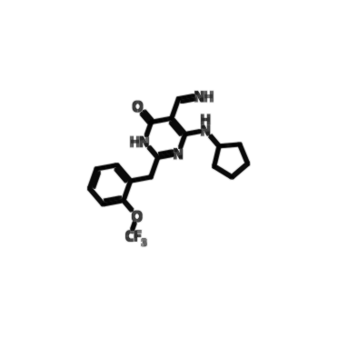 N=Cc1c(NC2CCCC2)nc(Cc2ccccc2OC(F)(F)F)[nH]c1=O